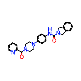 O=C(Nc1ccc(N2CCN(C(=O)c3ccccn3)CC2)cc1)N1Cc2ccccc2C1